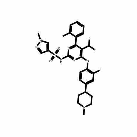 Cc1ccccc1-c1nc(NS(=O)(=O)c2cnn(C)c2)nc(Oc2ccc(C3CCN(C)CC3)cc2F)c1C(F)F